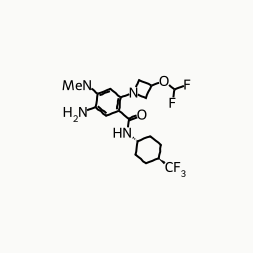 CNc1cc(N2CC(OC(F)F)C2)c(C(=O)N[C@H]2CC[C@H](C(F)(F)F)CC2)cc1N